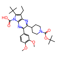 CCc1c(C(C)(C)C)n(C(=O)O)c2nc(-c3ccc(OC)c(OC)c3)c(C3CCN(C(=O)OC(C)(C)C)CC3)nc12